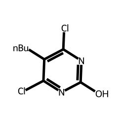 CCCCc1c(Cl)nc(O)nc1Cl